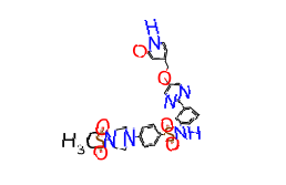 CS(=O)(=O)N1CCN(c2ccc(S(=O)(=O)Nc3cccc(-c4ncc(OCc5cc[nH]c(=O)c5)cn4)c3)cc2)CC1